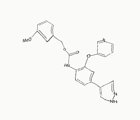 COc1cccc(COC(=O)Nc2ccc(-c3cn[nH]c3)cc2Oc2cccnc2)c1